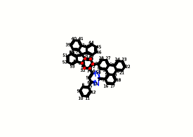 c1ccc(-c2cc(-c3ccccc3)nc(-c3cccc4c5ccccc5c5ccc(-c6ccc7c(c6)C6(c8ccccc8-c8ccccc86)c6ccccc6-7)cc5c34)n2)cc1